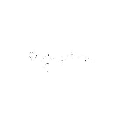 CC(C)(C)CC(=O)NCCC(C)(C)CCC(C)(C)CCNC(=O)[C@H](Cc1ccccc1)NC(=O)CC(C)(C)C